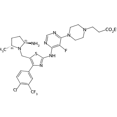 CCOC(=O)CCN1CCN(c2ncnc(Nc3nc(-c4ccc(Cl)c(C(F)(F)F)c4)c(CN4[C@H](C)CC[C@H]4N)s3)c2F)CC1